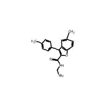 Cc1ccc(-c2c(C(=O)NCC(C)(C)C)oc3ccc(C)cc23)cc1